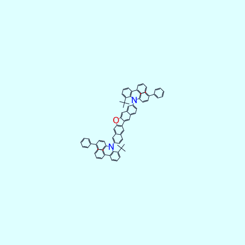 CC(C)(C)c1cccc(-c2ccccc2)c1N(c1ccc(-c2ccccc2)cc1)c1ccc2cc3c(cc2c1)oc1cc2cc(N(c4ccc(-c5ccccc5)cc4)c4c(-c5ccccc5)cccc4C(C)(C)C)ccc2cc13